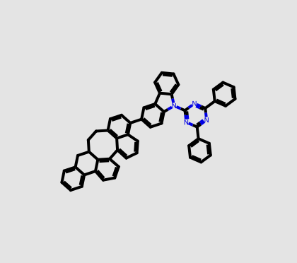 c1ccc(-c2nc(-c3ccccc3)nc(-n3c4ccccc4c4cc(-c5ccc6c7c(cccc57)-c5cccc7c5C(CC6)Cc5ccccc5-7)ccc43)n2)cc1